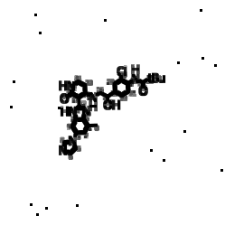 Cc1cc(-n2ccnc2)cc2[nH]c(-c3c(NCC(O)c4ccc(NC(=O)C(C)(C)C)c(Cl)c4)cc[nH]c3=O)nc12